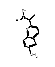 CCN(CC)C(C)c1ccc2cc(N)ccc2n1